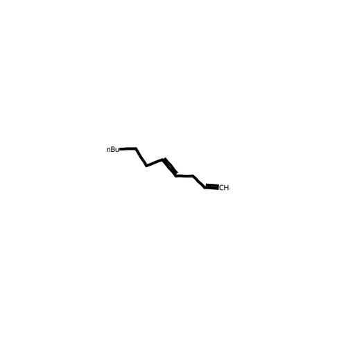 [CH]=CC/C=C/CCCCCC